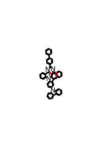 c1ccc(-c2ccc(-c3nc(-c4ccccc4)nc(-c4ccccc4-n4c5ccccc5c5cc(-n6c7ccccc7c7ccccc76)ccc54)n3)cc2)cc1